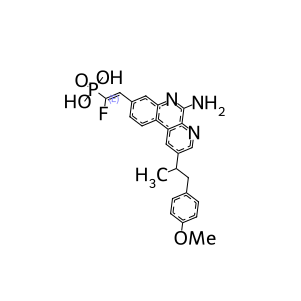 COc1ccc(CC(C)c2cnc3c(N)nc4cc(/C=C(\F)P(=O)(O)O)ccc4c3c2)cc1